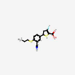 CCCSc1ccc(C2CC(F)=C(C(=O)O)S2)cc1C#N